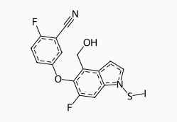 N#Cc1cc(Oc2c(F)cc3c(ccn3SI)c2CO)ccc1F